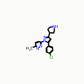 Cc1ccc(-n2nc(C3CCNCC3)cc2-c2ccc(Cl)cc2)nn1